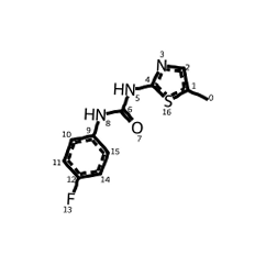 Cc1cnc(NC(=O)Nc2ccc(F)cc2)s1